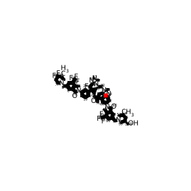 CC1CN(Cc2cc3c(c(C(F)(F)F)c2)CN(c2cccc(C4([C@H](F)c5nncn5CCn5cnnc5CC5(c6cccc(N7Cc8c(cc(CN9C[C@@H](C)C[C@@H](CO)C9)cc8C(F)(F)F)C7=O)c6)COC5)CC4)c2)C3=O)CCC1(F)F